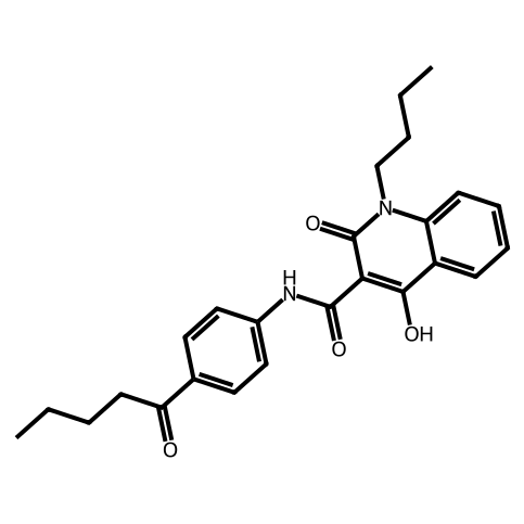 CCCCC(=O)c1ccc(NC(=O)c2c(O)c3ccccc3n(CCCC)c2=O)cc1